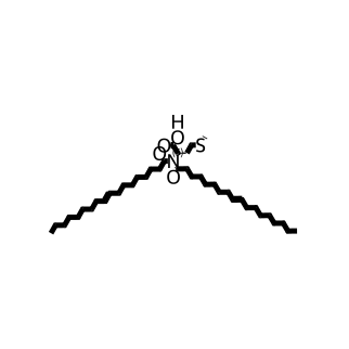 CCCCCCCCC=CCCCCCCCC(=O)N(C(=O)CCCCCCCC=CCCCCCCCC)[C@@H](CCSC)C(=O)O